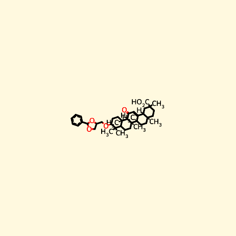 CC1(C(=O)O)CC[C@]2(C)CC[C@]3(C)C(=CC(=O)[C@@H]4[C@@]5(C)CC[C@H](OCC6COC(c7ccccc7)O6)C(C)(C)C5CC[C@]43C)[C@@H]2C1